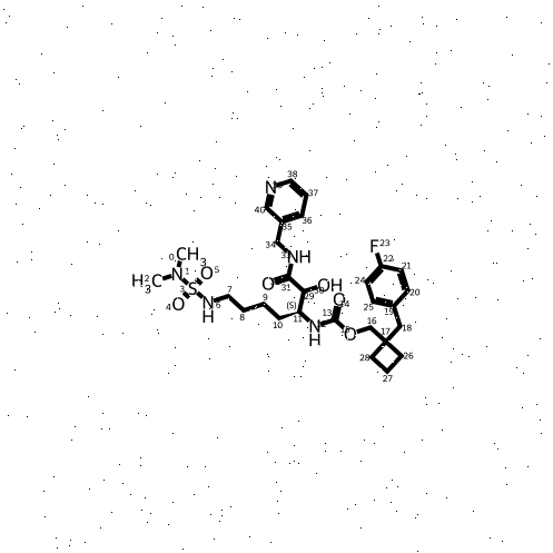 CN(C)S(=O)(=O)NCCCC[C@H](NC(=O)OCC1(Cc2ccc(F)cc2)CCC1)C(O)C(=O)NCc1cccnc1